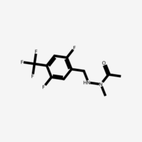 CC(=O)N(C)NCc1cc(F)c(C(F)(F)F)cc1F